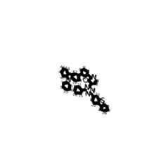 C1=Cc2c(oc3c(-c4nc(-c5ccccc5)nc(-c5ccc6c(c5)sc5ccccc56)n4)ccnc23)C(c2ccc3c(c2)c2ccccc2n3-c2ccccc2)C1